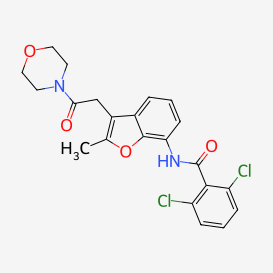 Cc1oc2c(NC(=O)c3c(Cl)cccc3Cl)cccc2c1CC(=O)N1CCOCC1